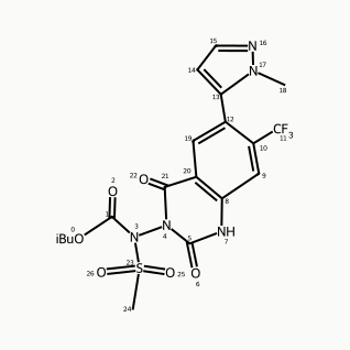 CC(C)COC(=O)N(n1c(=O)[nH]c2cc(C(F)(F)F)c(-c3ccnn3C)cc2c1=O)S(C)(=O)=O